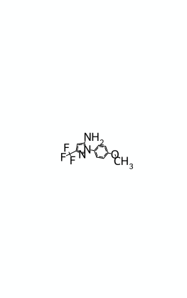 COc1ccc(-n2nc(C(F)(F)F)cc2N)cc1